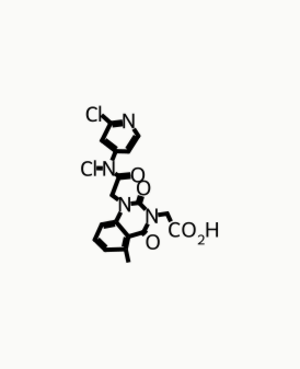 Cc1cccc2c1c(=O)n(CC(=O)O)c(=O)n2CC(=O)N(Cl)c1ccnc(Cl)c1